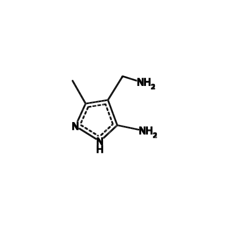 Cc1n[nH]c(N)c1CN